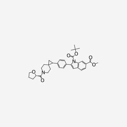 COC(=O)c1ccc2cc(-c3ccc(C4CC45CCN(C(=O)[C@H]4CCCO4)CC5)cc3)n(C(=O)OC(C)(C)C)c2c1